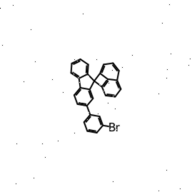 Brc1cccc(-c2ccc3c(c2)C2(c4ccccc4-3)c3cccc4cccc2c34)c1